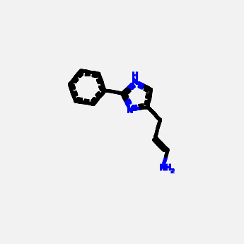 NC=CCc1c[nH]c(-c2ccccc2)n1